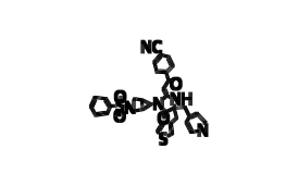 N#Cc1ccc(C(=O)/C=C2\NC(Cc3ccncc3)(Cc3ccsc3)C(=O)N2C2C3CN(S(=O)(=O)c4ccccc4)CC32)cc1